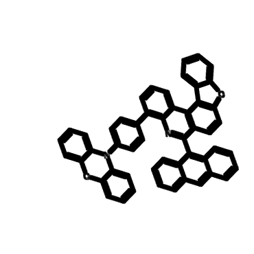 c1ccc2c(c1)Oc1ccccc1N2c1ccc(-c2cccc3c2nc(-c2c4ccccc4cc4ccccc24)c2ccc4oc5ccccc5c4c23)cc1